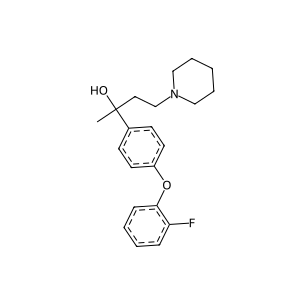 CC(O)(CCN1CCCCC1)c1ccc(Oc2ccccc2F)cc1